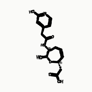 O=C(O)C[C@H]1C=CC[C@H](NC(=O)Cc2ccnc(O)c2)B(O)O1